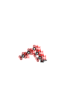 O=C([O-])c1cc(O)c(O)c(O)c1.O=C([O-])c1cc(O)c(O)c(O)c1.O=C([O-])c1cc(O)c(O)c(O)c1.O=C([O-])c1cc(O)c(O)c(O)c1.O=C([O-])c1cc(O)c(O)c(O)c1.[Al+3].[Be+2]